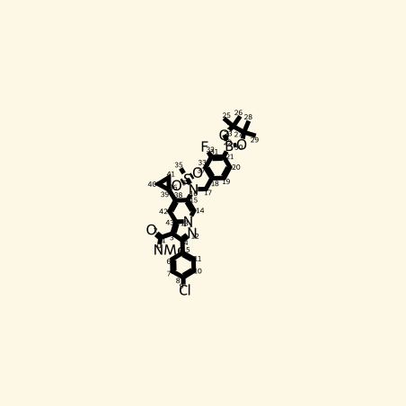 CNC(=O)c1c(-c2ccc(Cl)cc2)nn2cc(N(Cc3ccc(B4OC(C)(C)C(C)(C)O4)c(F)c3)S(C)(=O)=O)c(C3CC3)cc12